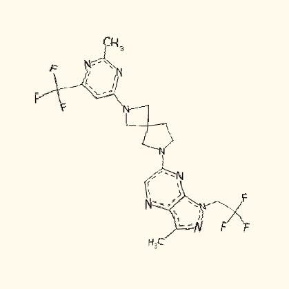 Cc1nc(N2CC3(CCN(c4cnc5c(C)nn(CC(F)(F)F)c5n4)C3)C2)cc(C(F)(F)F)n1